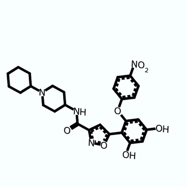 O=C(NC1CCN(C2CCCCC2)CC1)c1cc(-c2c(O)cc(O)cc2Oc2ccc([N+](=O)[O-])cc2)on1